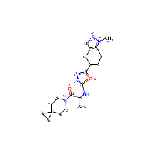 CC(Nc1nnc(C2CCc3c(cnn3C)C2)o1)C(=O)N1CCC2(CC1)CC2